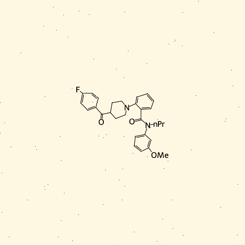 CCCN(C(=O)c1ccccc1N1CCC(C(=O)c2ccc(F)cc2)CC1)c1cccc(OC)c1